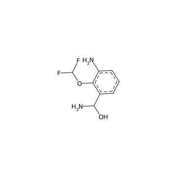 Nc1cccc(C(N)O)c1OC(F)F